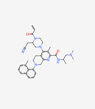 C=CC(=O)N1CCN(c2c(C)c(C(=O)NC(C)CN(C)C)nc3c2CCN(c2cccc4cccc(C)c24)C3)CC1CC#N